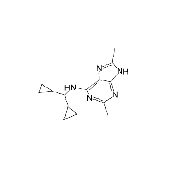 Cc1nc(NC(C2CC2)C2CC2)c2nc(C)[nH]c2n1